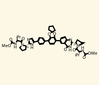 COC(=O)N[C@H](C(=O)N1CCC[C@H]1c1ncc(-c2ccc(-c3ccc(-c4ccc5nc([C@@H]6CC7CC7N6C(=O)[C@H](NC(=O)OC)C(C)C)[nH]c(=O)c5c4)c4c3OC3(CCCC3)O4)cc2)[nH]1)C(C)C